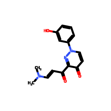 CN(C)C=CC(=O)c1nn(-c2cccc(O)c2)ccc1=O